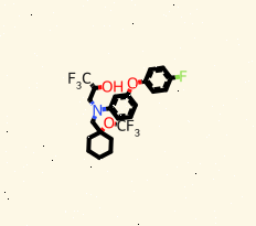 OC(CN(CC1(OC(F)(F)F)CCCCC1)c1cccc(Oc2ccc(F)cc2)c1)C(F)(F)F